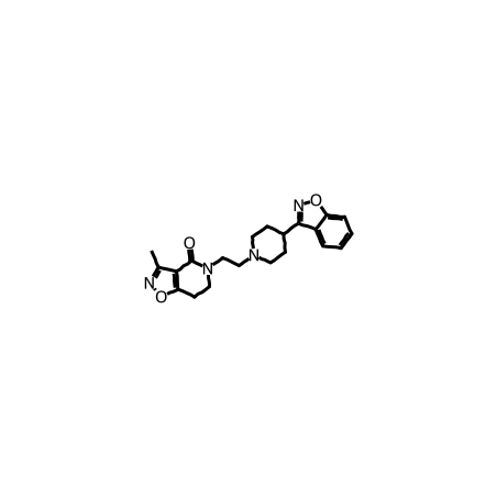 Cc1noc2c1C(=O)N(CCN1CCC(c3noc4ccccc34)CC1)CC2